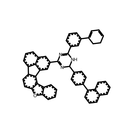 C1=CCCC(c2cccc(C3=NC(c4cc5c6c(cccc6c4)-c4ccc6oc7ccccc7c6c4-5)=NC(c4ccc(-c5cccc6ccccc56)cc4)N3)c2)=C1